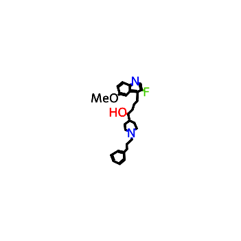 COc1ccc2ncc(F)c(CCCC(O)C3CCN(CCCc4ccccc4)CC3)c2c1